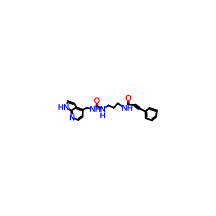 O=C(C#Cc1ccccc1)NCCCNC(=O)NCc1ccnc2[nH]ccc12